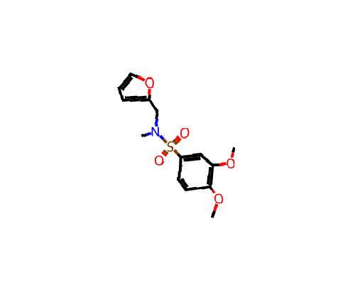 COc1ccc(S(=O)(=O)N(C)Cc2ccco2)cc1OC